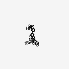 Cc1cc(-c2cccc(NS(C)(=O)=O)c2)cc2c1C(=O)N(N(CC1CCOCC1)C(=O)OC(C)(C)C)C2